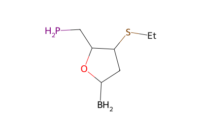 BC1CC(SCC)C(CP)O1